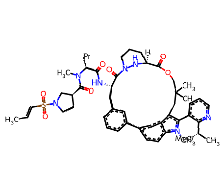 C/C=C/S(=O)(=O)N1CC[C@H](C(=O)N(C)[C@H](C(=O)N[C@H]2Cc3cccc(c3)-c3ccc4c(c3)c(c(-c3cccnc3[C@H](C)OC)n4C)CC(C)(C)COC(=O)[C@@H]3CCCN(N3)C2=O)C(C)C)C1